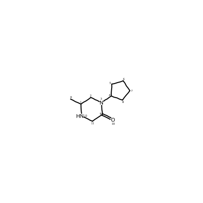 CC1CN(C2CCCC2)C(=O)CN1